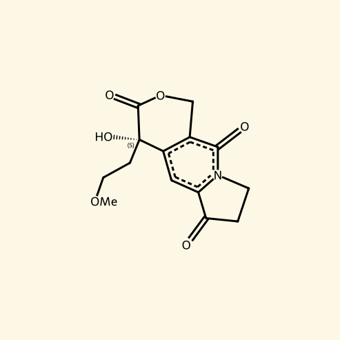 COCC[C@@]1(O)C(=O)OCc2c1cc1n(c2=O)CCC1=O